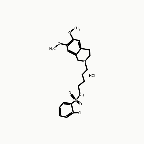 COc1cc2c(cc1OC)CN(CCCCNS(=O)(=O)c1ccccc1Cl)CC2.Cl